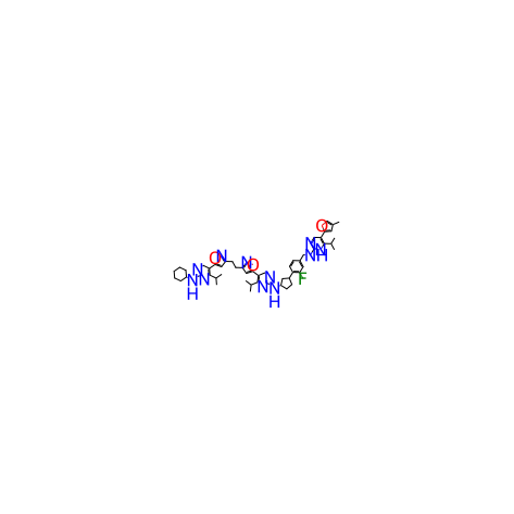 Cc1coc(-c2cnc(NCc3ccc(C4CCC(Nc5ncc(-c6cc(CCc7cc(-c8cnc(NC9CCCCC9)nc8C(C)C)on7)no6)c(C(C)C)n5)C4)c(F)c3)nc2C(C)C)c1